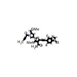 CC#CC(=O)N1C[C@@H](n2nc(C#Cc3c(F)cc4c(ncn4CC)c3F)c(C(N)=O)c2NC)C/C1=C\OC